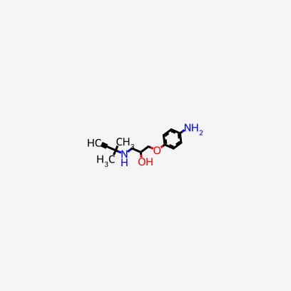 C#CC(C)(C)NCC(O)COc1ccc(N)cc1